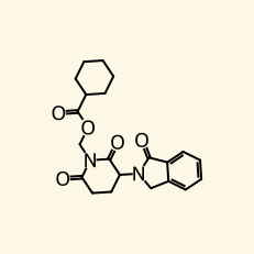 O=C(OCN1C(=O)CCC(N2Cc3ccccc3C2=O)C1=O)C1CCCCC1